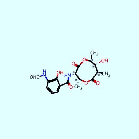 C[C@@H]1OC(=O)[C@@H](NC(=O)c2cccc(NC=O)c2O)[C@@H](C)OC(=O)[C@H](C)[C@H]1O